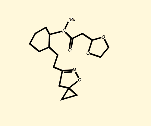 CC(C)(C)N(C(=O)CC1OCCO1)C1CCCCC1CCC1=NOC2(CC2)C1